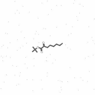 CCCCCCC(=O)C(=O)OC(C)(C)C